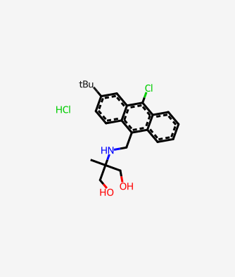 CC(CO)(CO)NCc1c2ccccc2c(Cl)c2cc(C(C)(C)C)ccc12.Cl